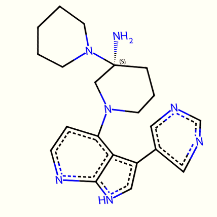 N[C@]1(N2CCCCC2)CCCN(c2ccnc3[nH]cc(-c4cncnc4)c23)C1